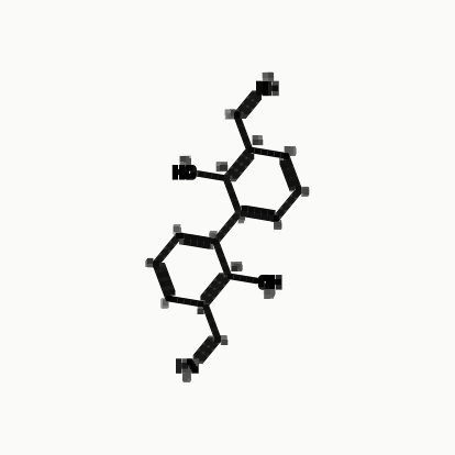 N=Cc1cccc(-c2cccc(C=N)c2O)c1O